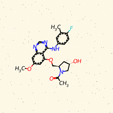 COc1cc(OC[C@H]2C[C@H](O)CN2C(C)=O)c2c(Nc3ccc(F)c(C)c3)ncnc2c1